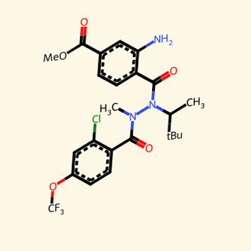 COC(=O)c1ccc(C(=O)N(C(C)C(C)(C)C)N(C)C(=O)c2ccc(OC(F)(F)F)cc2Cl)c(N)c1